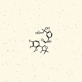 COc1c([C@H]2[C@H](C(=O)Nc3ccnc([C@@](C)(O)CO)c3)OC(C)(C)[C@H]2C)ccc(F)c1F